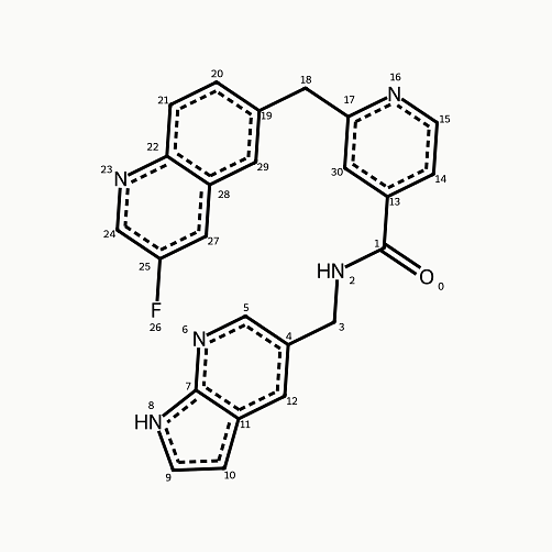 O=C(NCc1cnc2[nH]ccc2c1)c1ccnc(Cc2ccc3ncc(F)cc3c2)c1